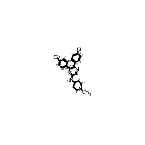 CN1CCC(Nc2cnc(-c3ccc(Cl)cc3)c(-c3ccc(Cl)cc3)n2)CC1